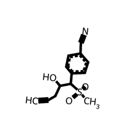 C#CCC(O)C(c1ccc(C#N)cc1)S(C)(=O)=O